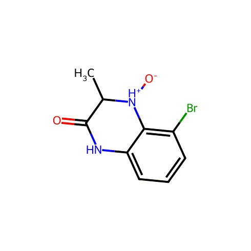 CC1C(=O)Nc2cccc(Br)c2[NH+]1[O-]